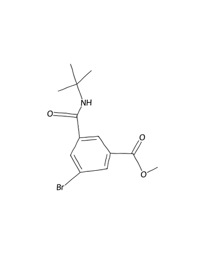 COC(=O)c1cc(Br)cc(C(=O)NC(C)(C)C)c1